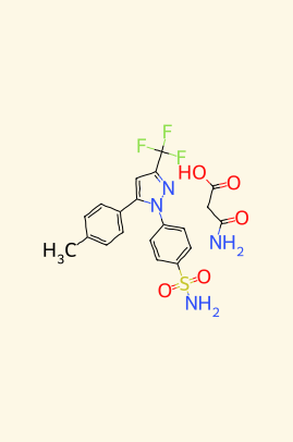 Cc1ccc(-c2cc(C(F)(F)F)nn2-c2ccc(S(N)(=O)=O)cc2)cc1.NC(=O)CC(=O)O